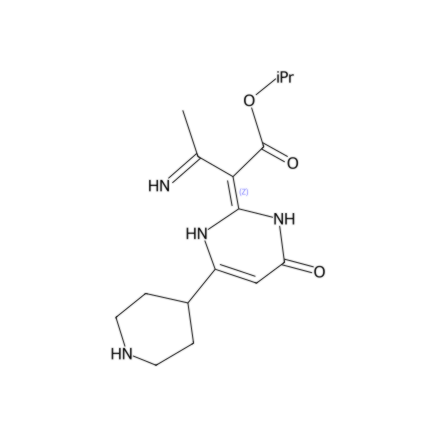 CC(=N)/C(C(=O)OC(C)C)=C1/NC(=O)C=C(C2CCNCC2)N1